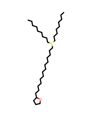 CCCCCCCCC[S+](CCCCCCCCC)CCCCCCCCCCCCCCC1CCCO1